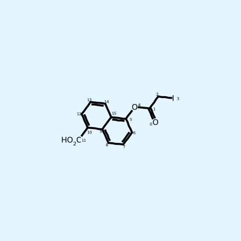 O=C(CI)Oc1cccc2c(C(=O)O)cccc12